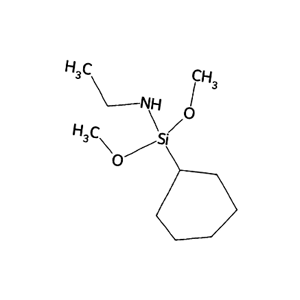 CCN[Si](OC)(OC)C1CCCCC1